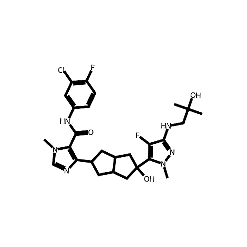 Cn1cnc(C2CC3CC(O)(c4c(F)c(NCC(C)(C)O)nn4C)CC3C2)c1C(=O)Nc1ccc(F)c(Cl)c1